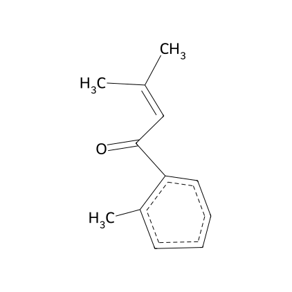 CC(C)=CC(=O)c1ccccc1C